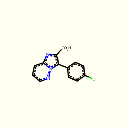 O=C(O)c1nc2cccnn2c1-c1ccc(Cl)cc1